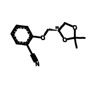 CC1(C)OC[C@@H](COc2ccccc2C#N)O1